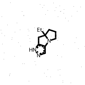 CCC12CCCN1c1cn[nH]c1C2